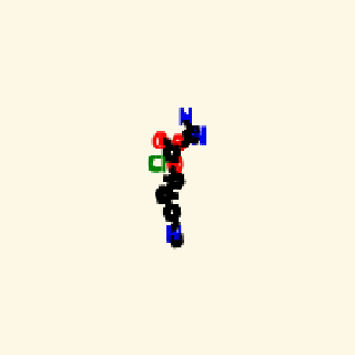 Cc1c(COc2cc(OCc3cncc(C#N)c3)c(C=O)cc2Cl)cccc1-c1cccc(-c2ccc(CCN3CCCC3)cc2)c1C